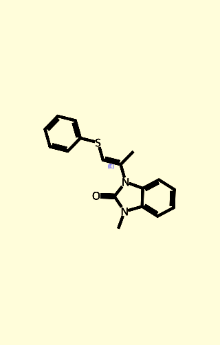 C/C(=C\Sc1ccccc1)n1c(=O)n(C)c2ccccc21